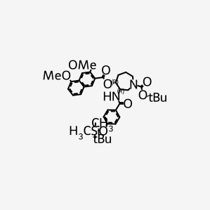 COc1cc2c(OC)cccc2cc1C(=O)O[C@@H]1CCCN(C(=O)OC(C)(C)C)C[C@H]1NC(=O)c1ccc(O[Si](C)(C)C(C)(C)C)cc1